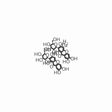 O=c1c2cc(O)c(O)cc2oc2cc(O)c([C@@H]3O[C@H](CO)[C@@H](O)[C@H](O)[C@H]3O)c(O)c12.O=c1c2cc(O)c(O)cc2oc2cc(O)c([C@@H]3O[C@H](CO)[C@@H](O)[C@H](O)[C@H]3O)c(O)c12.[CaH2]